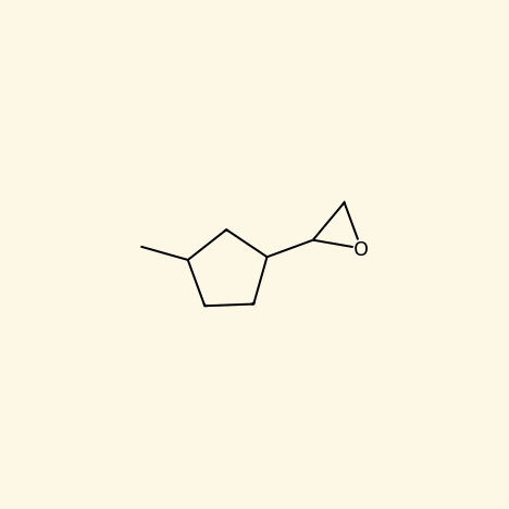 CC1CCC(C2CO2)C1